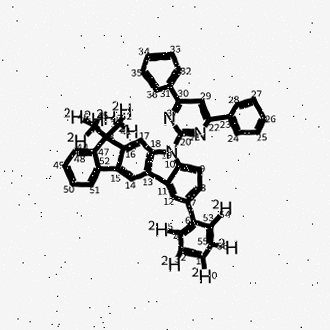 [2H]c1c([2H])c([2H])c(-c2ccc3c(c2)c2cc4c(cc2n3-c2nc(-c3ccccc3)cc(-c3ccccc3)n2)C(C([2H])([2H])[2H])(C([2H])([2H])[2H])c2ccccc2-4)c([2H])c1[2H]